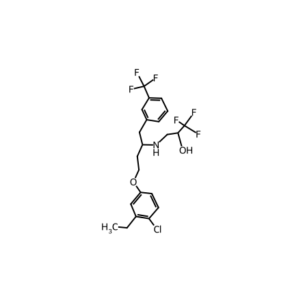 CCc1cc(OCCC(Cc2cccc(C(F)(F)F)c2)NCC(O)C(F)(F)F)ccc1Cl